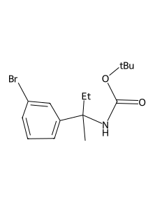 CCC(C)(NC(=O)OC(C)(C)C)c1cccc(Br)c1